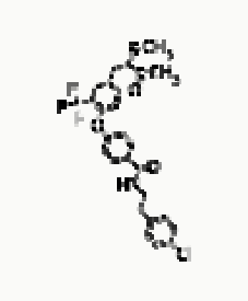 CSC(=Cc1ccc(Oc2ccc(C(=O)NCCc3ccc(Cl)cc3)cc2)c(C(F)(F)F)c1)[S+](C)[O-]